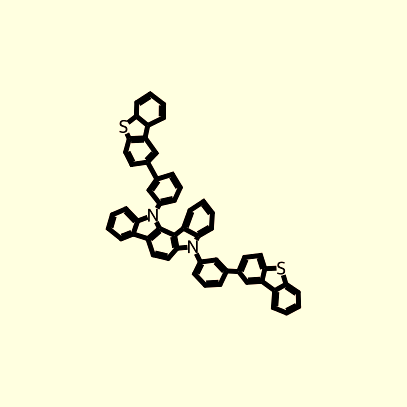 C1=CC2Sc3ccc(-c4cccc(-n5c6ccccc6c6ccc7c(c8ccccc8n7-c7cccc(-c8ccc9sc%10ccccc%10c9c8)c7)c65)c4)cc3C2C=C1